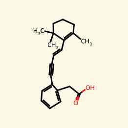 CC1=C(C=CC#Cc2ccccc2CC(=O)O)C(C)(C)CCC1